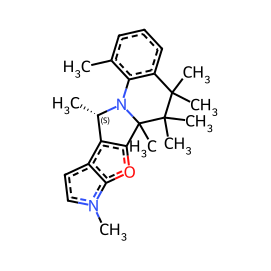 Cc1cccc2c1N1[C@@H](C)c3c(oc4c3ccn4C)C1(C)C(C)(C)C2(C)C